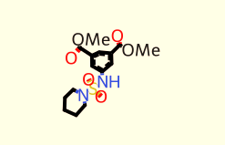 COC(=O)c1cc(NS(=O)(=O)N2CCCCC2)cc(C(=O)OC)c1